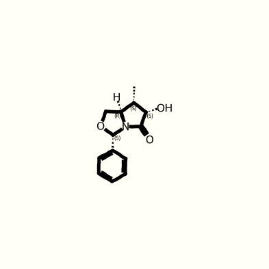 C[C@@H]1[C@H](O)C(=O)N2[C@H](c3ccccc3)OC[C@@H]12